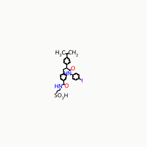 C=C(C)c1ccc(C(Cc2ccc(C(=O)NCCS(=O)(=O)O)cc2)C(=O)Nc2ccc(I)cc2)cc1